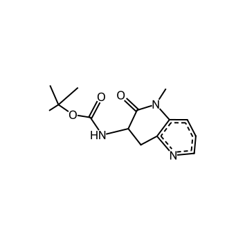 CN1C(=O)C(NC(=O)OC(C)(C)C)Cc2ncccc21